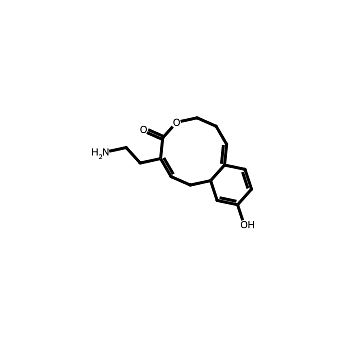 NCC/C1=C/CC2C=C(O)C=C/C2=C/CCOC1=O